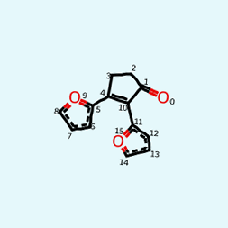 O=C1CCC(c2ccco2)=C1c1ccco1